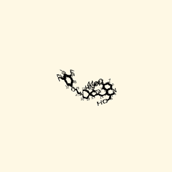 COc1ccc2ncc(CO)c(CCCC3(C(=O)NO)CCN(CCOc4cc(F)cc(F)c4)CC3)c2c1